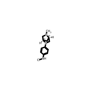 CN1C[C@H]2C[C@@H]1CN2c1ccc(NCl)cc1